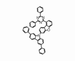 c1ccc(-c2ccc3c(c2)c2ccc(-c4ccccc4)cc2n3-c2ccc3c(c2)oc2cccc(-c4nc(-c5ccccc5)nc(-c5ccccc5)n4)c23)cc1